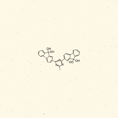 Cc1nc(-c2ccc3c(c2)C(O)(O)c2ccccc2-3)nc(-c2ccc3c(c2)C(O)(O)c2ccccc2-3)n1